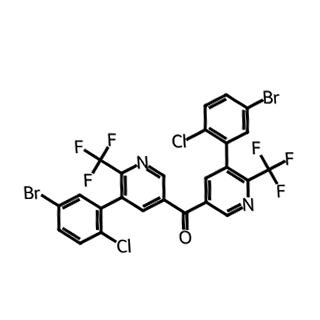 O=C(c1cnc(C(F)(F)F)c(-c2cc(Br)ccc2Cl)c1)c1cnc(C(F)(F)F)c(-c2cc(Br)ccc2Cl)c1